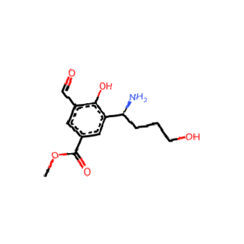 COC(=O)c1cc(C=O)c(O)c([C@@H](N)CCCO)c1